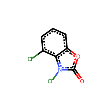 O=c1oc2cccc(Cl)c2n1Cl